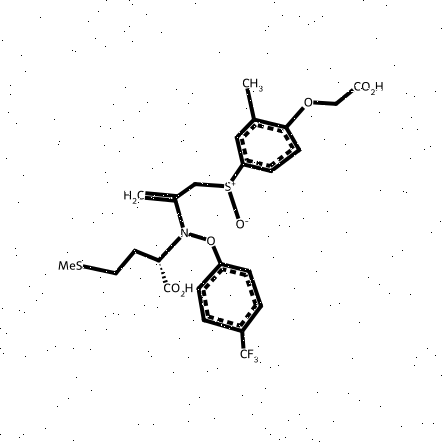 C=C(C[S+]([O-])c1ccc(OCC(=O)O)c(C)c1)N(Oc1ccc(C(F)(F)F)cc1)[C@@H](CCSC)C(=O)O